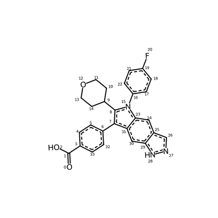 O=C(O)c1ccc(-c2c(C3CCOCC3)n(-c3ccc(F)cc3)c3cc4cn[nH]c4cc23)cc1